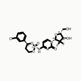 O=c1nc(N[P@]2(=O)OCC[C@@H](c3cccc(Cl)c3)O2)ccn1[C@@H]1O[C@H](CO)[C@@H](O)C1(F)F